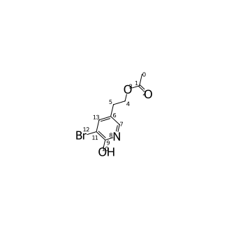 CC(=O)OCCc1cnc(O)c(Br)c1